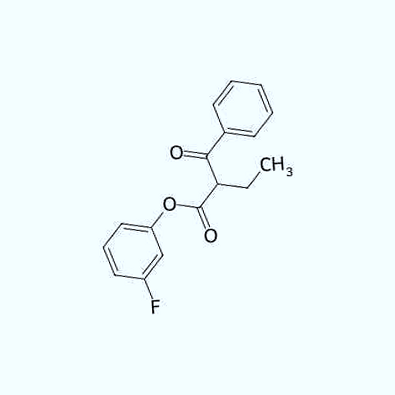 CCC(C(=O)Oc1cccc(F)c1)C(=O)c1ccccc1